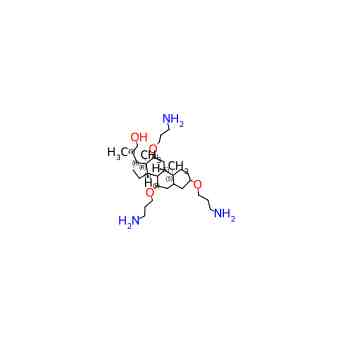 C[C@H](CO)[C@H]1CC[C@H]2C3[C@H](OCCCN)CC4CC(OCCCN)CC[C@]4(C)[C@H]3C[C@H](OCCCN)[C@]12C